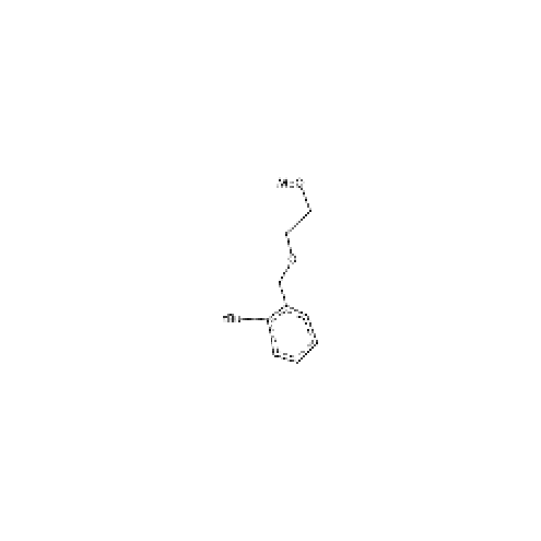 COCCOCc1ccccc1C(C)(C)C